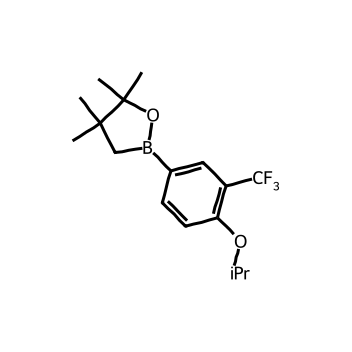 CC(C)Oc1ccc(B2CC(C)(C)C(C)(C)O2)cc1C(F)(F)F